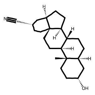 C[C@]12CC[C@@H](O)C[C@@H]1CC[C@@H]1[C@@H]2CC[C@@]23CC[C@H](C#N)C[C@H]2CC[C@@H]13